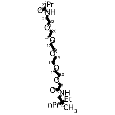 CCCC(C)(CC)CNC(=O)COCCOCCOCCOCCOCCNC(=O)C(C)C